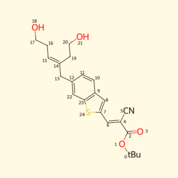 CC(C)(C)OC(=O)/C(C#N)=C/c1cc2ccc(C/C(=C/CCO)CCO)cc2s1